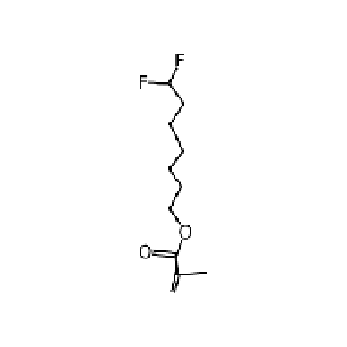 C=C(C)C(=O)OCCCCCCC(F)F